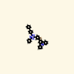 c1ccc(-c2ccc(-c3nc(-c4ccccc4)nc(-c4ccc5sc6c(cc7c8ccccc8n8c9ccccc9c6c78)c5c4)n3)cc2)cc1